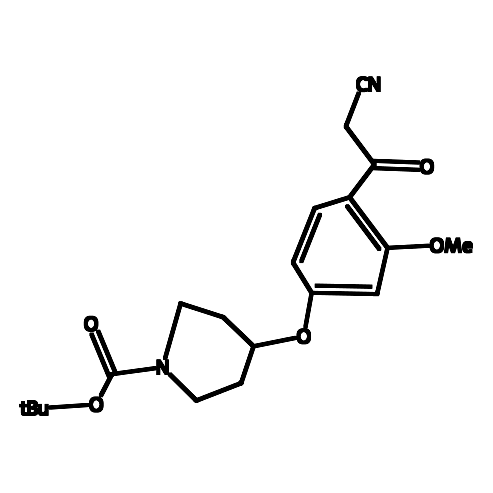 COc1cc(OC2CCN(C(=O)OC(C)(C)C)CC2)ccc1C(=O)CC#N